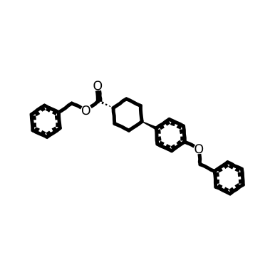 O=C(OCc1ccccc1)[C@H]1CC[C@H](c2ccc(OCc3ccccc3)cc2)CC1